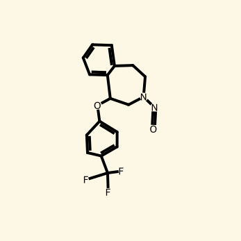 O=NN1CCc2ccccc2C(Oc2ccc(C(F)(F)F)cc2)C1